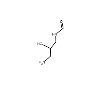 NCC(O)CNC=O